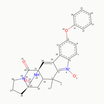 CC1(C)C2=[N+]([O-])c3ccc(Oc4ccccc4)cc3C2=C[C@@]23NC(=O)[C@]4(CCCN4C2=O)CC13